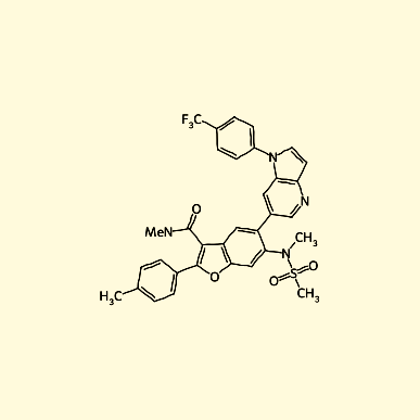 CNC(=O)c1c(-c2ccc(C)cc2)oc2cc(N(C)S(C)(=O)=O)c(-c3cnc4ccn(-c5ccc(C(F)(F)F)cc5)c4c3)cc12